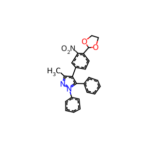 Cc1nn(-c2ccccc2)c(-c2ccccc2)c1-c1ccc(C2OCCO2)c([N+](=O)[O-])c1